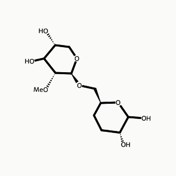 CO[C@@H]1C(O)[C@H](O)CO[C@H]1OC[C@@H]1CC[C@@H](O)C(O)O1